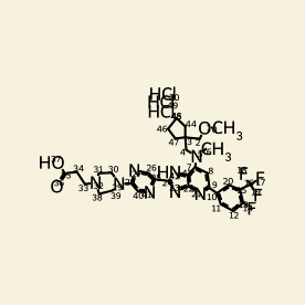 COCC1(CN(C)c2cc(-c3ccc(F)c(C(F)(F)F)c3)nc3nc(-c4cnc(N5CCN(CCC(=O)O)CC5)cn4)[nH]c23)CCCC1.Cl.Cl.Cl